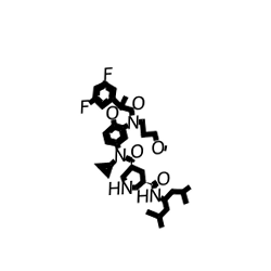 COCCCN1C(=O)C(C)(c2cc(F)cc(F)c2)Oc2ccc(N(C(=O)[C@H]3CNC[C@@H](C(=O)NC(CC(C)C)CC(C)C)C3)C3CC3)cc21